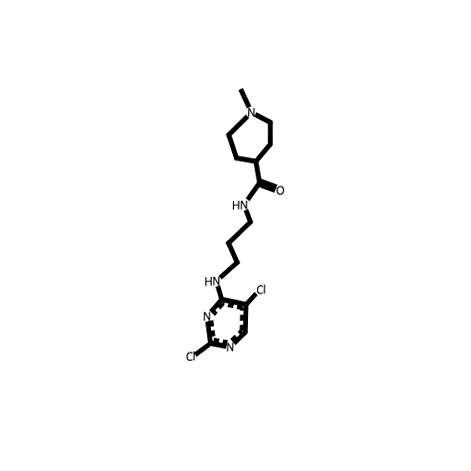 CN1CCC(C(=O)NCCCNc2nc(Cl)ncc2Cl)CC1